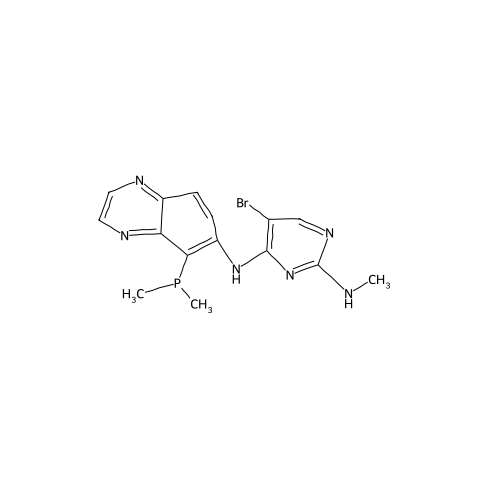 CNc1ncc(Br)c(Nc2ccc3nccnc3c2P(C)C)n1